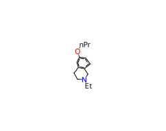 [CH2]CCOc1ccc2c(c1)CCN(CC)C2